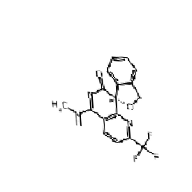 CNC1=NC(=O)[C@]2(OCc3ccccc32)c2nc(C(F)(F)F)ccc21